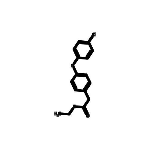 CCSC(=O)Cc1ccc(Oc2ccc(Cl)cc2)cc1